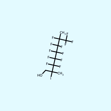 CC(I)(CO)C(F)(F)C(F)(F)C(F)(F)C(F)(F)C(C)(F)C(F)(F)F